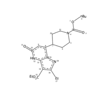 CCCCOC(=O)N1CCC(c2cc(=O)[nH]c3c(C(=O)OCC)c(CC)nn23)CC1